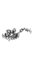 COP(=O)(CCc1ccc(N)cc1)C[C@H]1CCC(=O)N2CCCCN2C1=O.O=C(O)O